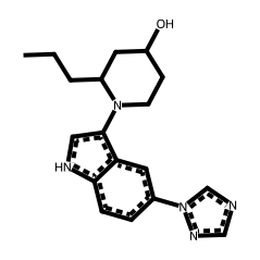 CCCC1CC(O)CCN1c1c[nH]c2ccc(-n3cncn3)cc12